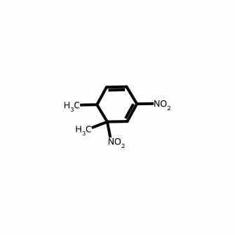 CC1C=CC([N+](=O)[O-])=CC1(C)[N+](=O)[O-]